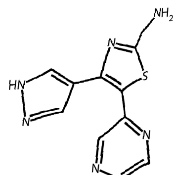 Nc1nc(-c2cn[nH]c2)c(-c2cnccn2)s1